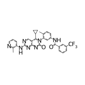 Cc1ccc(NC(=O)c2cccc(C(F)(F)F)c2)cc1-n1c(C2CC2)c2cnc(Nc3cccnc3C)nc2nc1=O